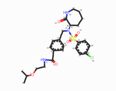 CC(C)OCCNC(=O)c1ccc(CN([C@@H]2CCCCNC2=O)S(=O)(=O)c2ccc(Cl)cc2)cc1